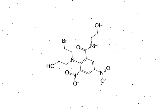 O=C(NCCO)c1cc([N+](=O)[O-])cc([N+](=O)[O-])c1N(CCO)CCBr